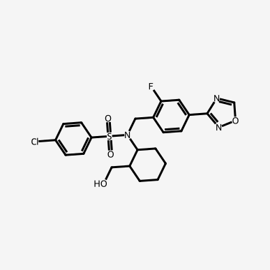 O=S(=O)(c1ccc(Cl)cc1)N(Cc1ccc(-c2ncon2)cc1F)C1CCCCC1CO